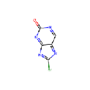 O=C1N=CC2=NC(Br)=NC2=N1